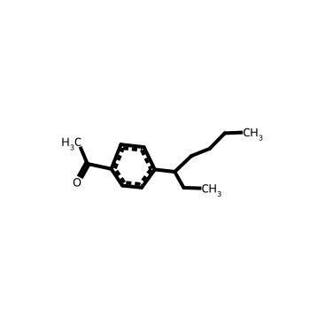 CCCCC(CC)c1ccc(C(C)=O)cc1